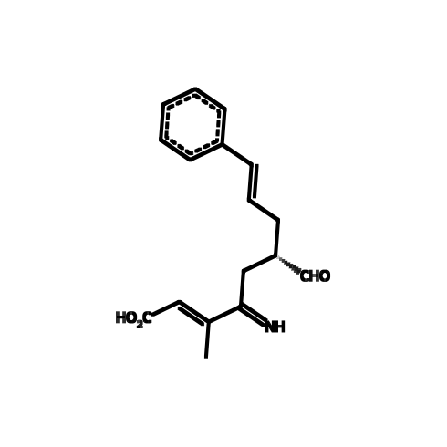 CC(=CC(=O)O)C(=N)C[C@@H](C=O)CC=Cc1ccccc1